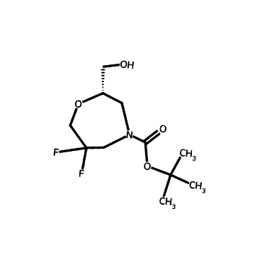 CC(C)(C)OC(=O)N1C[C@@H](CO)OCC(F)(F)C1